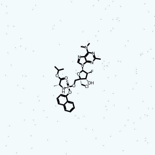 Cc1nc(N(C)C)c2ncn([C@@H]3O[C@](CCl)(CO[P@](=S)(N[C@H](C)C(=O)OC(C)C)Oc4cccc5ccccc45)[C@@H](O)[C@@H]3F)c2n1